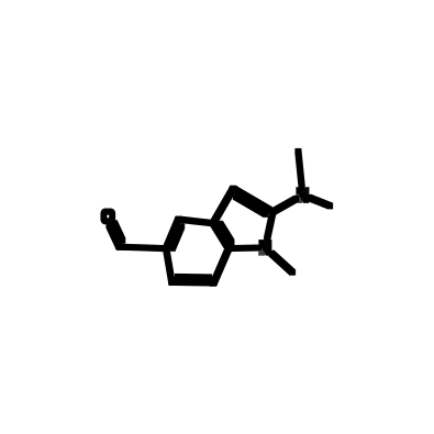 CN(C)c1cc2cc(C=O)ccc2n1C